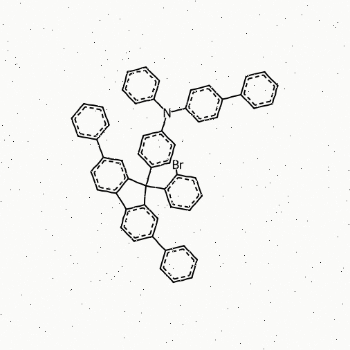 Brc1ccccc1C1(c2ccc(N(c3ccccc3)c3ccc(-c4ccccc4)cc3)cc2)c2cc(-c3ccccc3)ccc2-c2ccc(-c3ccccc3)cc21